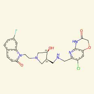 O=C1COc2cc(Cl)c(CNC[C@H]3CN(CCn4c(=O)ccc5ccc(F)cc54)C[C@H]3O)nc2N1